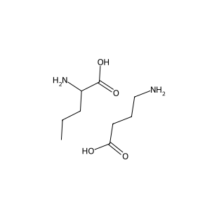 CCCC(N)C(=O)O.NCCCC(=O)O